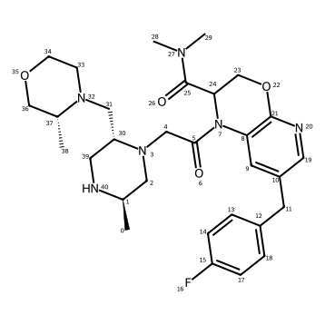 C[C@@H]1CN(CC(=O)N2c3cc(Cc4ccc(F)cc4)cnc3OCC2C(=O)N(C)C)[C@@H](CN2CCOC[C@H]2C)CN1